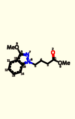 COC(=O)CCCn1nc(OC)c2ccccc21